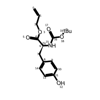 C=CCOC(=O)[C@H](Cc1ccc(O)cc1)NC(=O)OC(C)(C)C